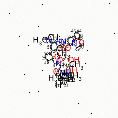 COc1c(CN2O[C@@H](CO)[C@H]([C@H](C)O)[C@H]2C(=O)N[C@H]2C[C@H]3C[C@@H]([C@@H]2C)C3(C)C)cccc1-c1cc(C(=O)N[C@@H](Cc2ccccc2)C(=O)N2CCOCC2)cc(N(C)C)c1